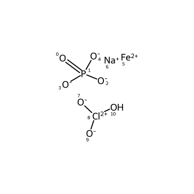 O=P([O-])([O-])[O-].[Fe+2].[Na+].[O-][Cl+2]([O-])O